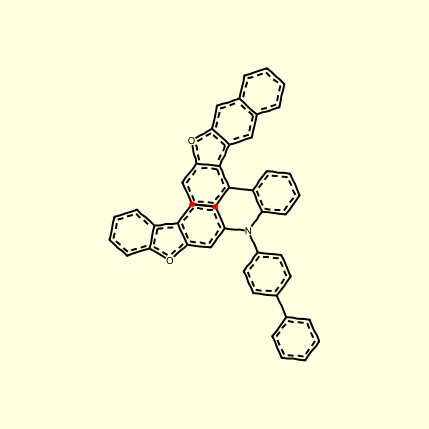 c1ccc(-c2ccc(N(c3ccc4c(c3)oc3ccccc34)c3ccccc3-c3cccc4oc5cc6ccccc6cc5c34)cc2)cc1